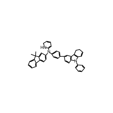 CC1(C)c2ccccc2-c2ccc(N(C3=CC=CCN3)c3ccc(-c4ccc5c(c4)c4c(n5-c5ccccc5)C=CCC4)cc3)cc21